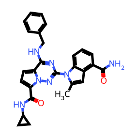 Cc1cc2c(C(N)=O)cccc2n1-c1nc(NCc2ccccc2)c2ccc(C(=O)NC3CC3)n2n1